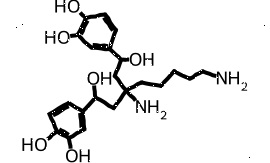 NCCCCCC(N)(CC(O)c1ccc(O)c(O)c1)CC(O)c1ccc(O)c(O)c1